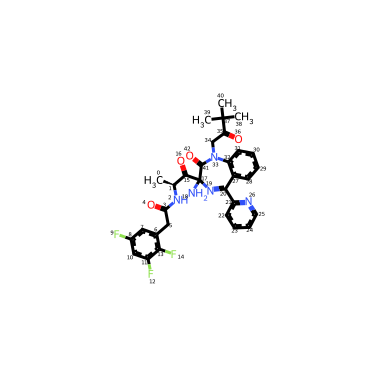 C[C@H](NC(=O)Cc1cc(F)cc(F)c1F)C(=O)C1(N)N=C(c2ccccn2)c2ccccc2N(CC(=O)C(C)(C)C)C1=O